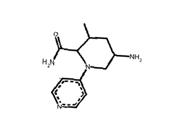 CC1CC(N)CN(c2[c]cncc2)C1C(N)=O